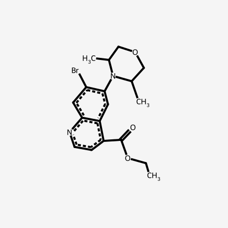 CCOC(=O)c1ccnc2cc(Br)c(N3C(C)COCC3C)cc12